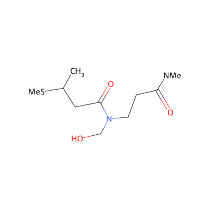 CNC(=O)CCN(CO)C(=O)CC(C)SC